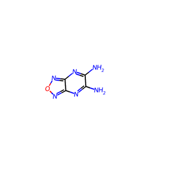 Nc1nc2nonc2nc1N